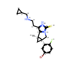 Fc1ccc(Br)cc1[C@]12C[C@H]1c1c(CCNCC3CC3)[nH]c(=S)n1C2